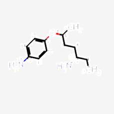 CC[C@H](N)CCC(C)Oc1ccc(N)cc1